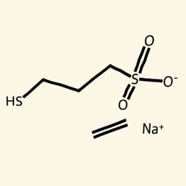 C=C.O=S(=O)([O-])CCCS.[Na+]